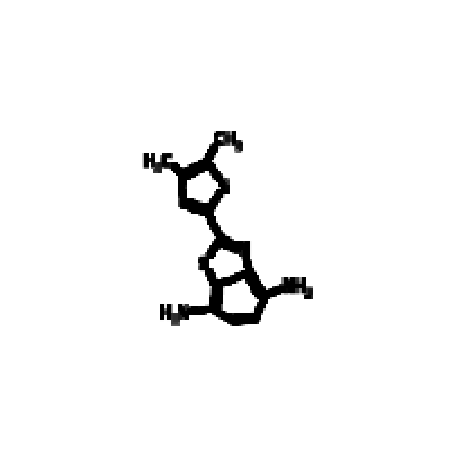 Cc1cc(-c2nc3c(N)ccc(N)c3s2)sc1C